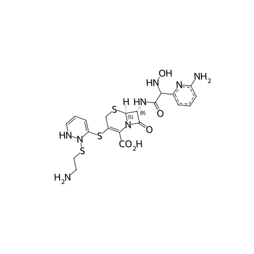 NCCSN1NC=CC=C1SC1=C(C(=O)O)N2C(=O)[C@@H](NC(=O)C(NO)c3cccc(N)n3)[C@@H]2SC1